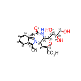 CC(C)C(=O)N[C@H]1[C@H]([C@H](O)[C@H](O)CO)OC(C(=O)O)=C[C@@H]1n1cc2ccccc2c1C#N